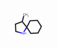 CC1CCNC12CCCCC2